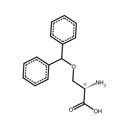 N[C@@H](COC(c1ccccc1)c1ccccc1)C(=O)O